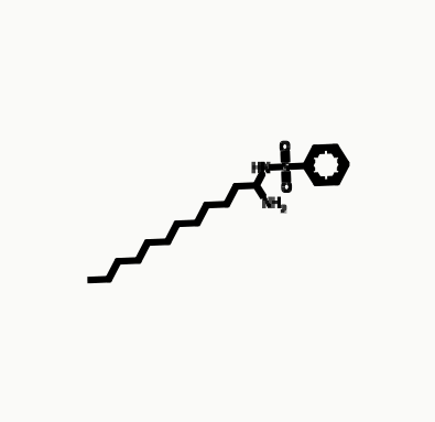 CCCCCCCCCCCC(N)NS(=O)(=O)c1ccccc1